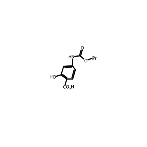 CC(C)OC(=O)Nc1ccc(C(=O)O)c(O)c1